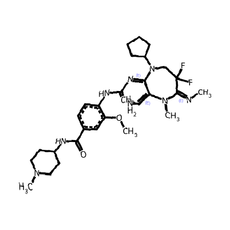 C=C(/N=C1\C(=C/N)N(C)/C(=N/C)C(F)(F)CN1C1CCCC1)Nc1ccc(C(=O)NC2CCN(C)CC2)cc1OC